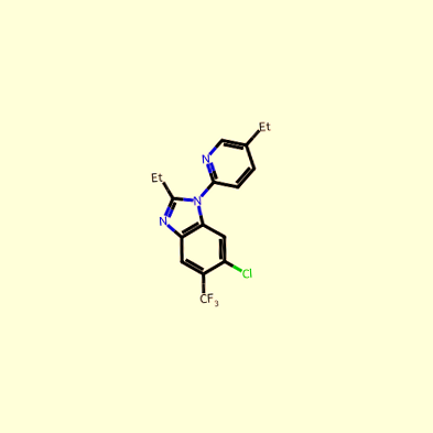 [CH2]Cc1ccc(-n2c(CC)nc3cc(C(F)(F)F)c(Cl)cc32)nc1